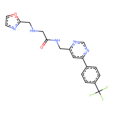 O=C(CNCc1ncco1)NCc1cc(-c2ccc(C(F)(F)F)cc2)ncn1